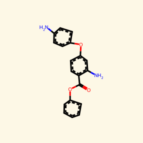 Nc1ccc(Oc2ccc(C(=O)Oc3ccccc3)c(N)c2)cc1